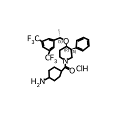 C[C@H](O[C@@H]1CCN(C(=O)C2CCC(N)CC2)C[C@@H]1c1ccccc1)c1cc(C(F)(F)F)cc(C(F)(F)F)c1.Cl